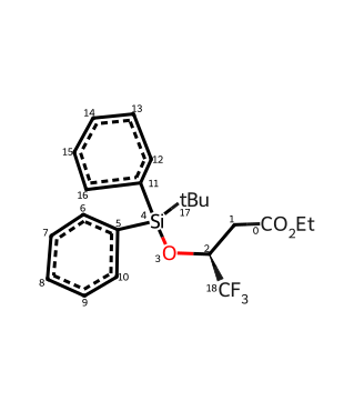 CCOC(=O)C[C@H](O[Si](c1ccccc1)(c1ccccc1)C(C)(C)C)C(F)(F)F